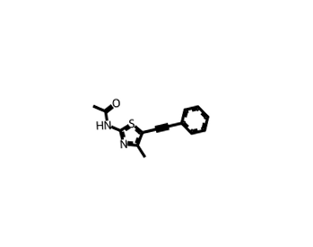 CC(=O)Nc1nc(C)c(C#Cc2ccccc2)s1